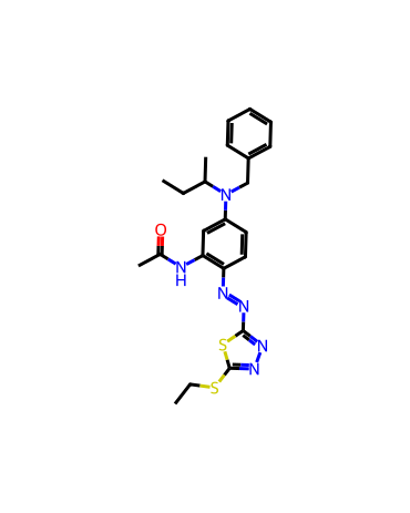 CCSc1nnc(N=Nc2ccc(N(Cc3ccccc3)C(C)CC)cc2NC(C)=O)s1